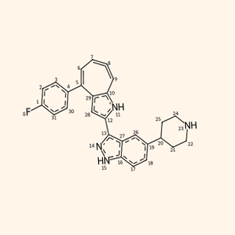 Fc1ccc(C2=CC=C=Cc3[nH]c(-c4n[nH]c5ccc(C6CCNCC6)cc45)cc32)cc1